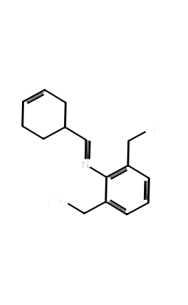 CCc1cccc(CC)c1N=CC1CC=CCC1